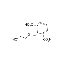 O=C(O)c1cccc(C(=O)O)c1COCCO